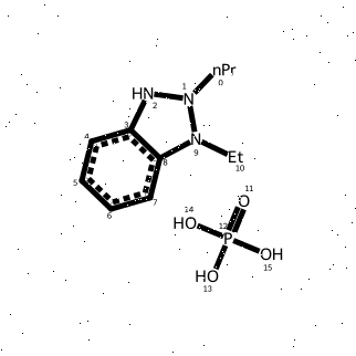 CCCN1Nc2ccccc2N1CC.O=P(O)(O)O